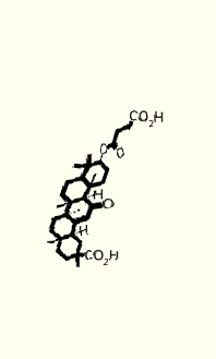 CC1(C(=O)O)CC[C@]2(C)CC[C@]3(C)C(=CC(=O)[C@@H]4[C@@]5(C)CC[C@H](OC(=O)CCC(=O)O)C(C)(C)C5CC[C@]43C)[C@H]2C1